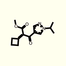 COC(=O)C(C(=O)c1cnn(C(C)C)c1)=C1CCC1